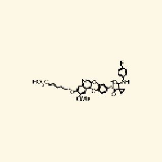 COc1cc2c(Oc3ccc(NC(=O)C4(C(=O)Nc5ccc(F)cc5)CC4)cc3Cl)ccnc2cc1OCCCCCCC(=O)O